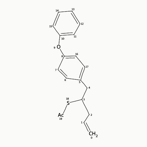 C=CCC(Cc1ccc(Oc2ccccc2)cc1)SC(C)=O